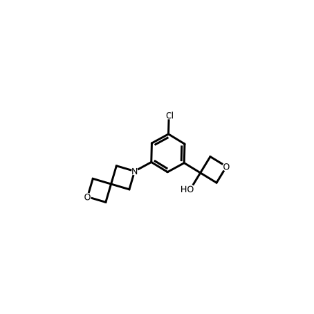 OC1(c2cc(Cl)cc(N3CC4(COC4)C3)c2)COC1